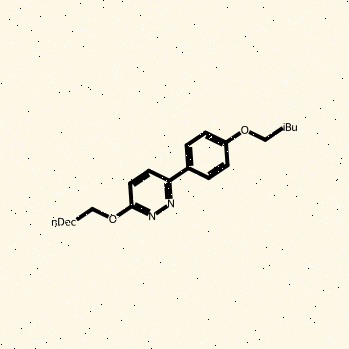 CCCCCCCCCCCOc1ccc(-c2ccc(OCC(C)CC)cc2)nn1